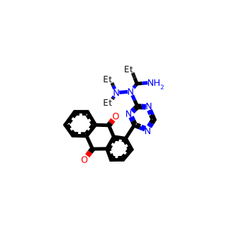 CCC(N)N(c1ncnc(-c2cccc3c2C(=O)c2ccccc2C3=O)n1)N(CC)CC